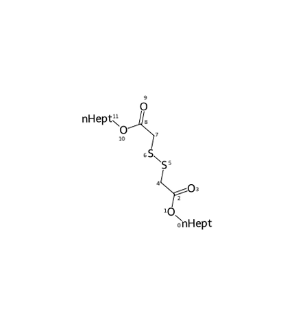 CCCCCCCOC(=O)CSSCC(=O)OCCCCCCC